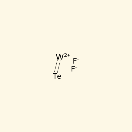 [F-].[F-].[Te]=[W+2]